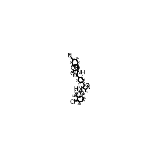 Cc1noc(-c2ccc(C(=O)NC(Cc3ccc(C#N)cc3)C(=O)O)cc2)c1NC(=O)OC(C)c1ccccc1Cl